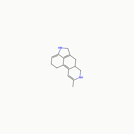 CC1=CC2=C3CCC=C4NCC(=C43)CC2CN1